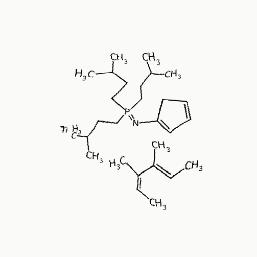 CC(C)CCP(CCC(C)C)(CCC(C)C)=NC1=CC=CC1.CC=C(C)C(C)=CC.[Ti]